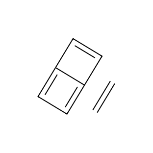 C=C.c1cc2ccc1-2